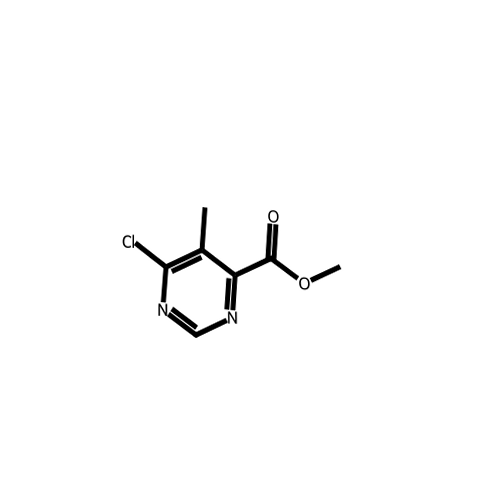 COC(=O)c1ncnc(Cl)c1C